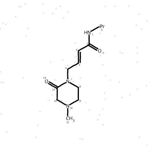 CC(C)NC(=O)/C=C/CN1CCN(C)CC1=O